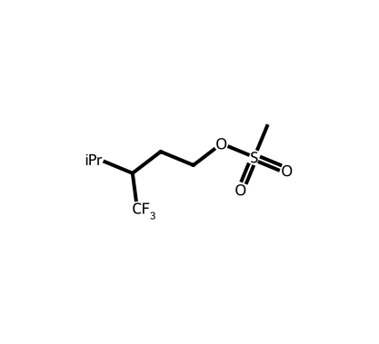 CC(C)C(CCOS(C)(=O)=O)C(F)(F)F